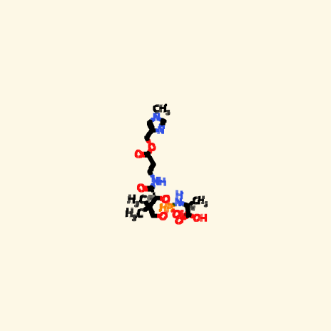 C[C@H](N[PH]1(O)OCC(C)(C)[C@H](C(=O)NCCC(=O)OCc2cn(C)cn2)O1)C(=O)O